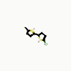 Cc1ccc(C2CC=C(Cl)S2)s1